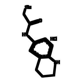 CC(C)(C)CC(=O)Nc1ccc2c(c1)CCCN2.Cl